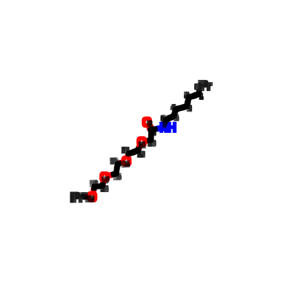 CC(C)CCCCCCNC(=O)COCCOCCOCCOC(C)C